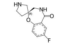 O=C1NC[C@]2(CCNC2)Oc2ccc(F)cc21